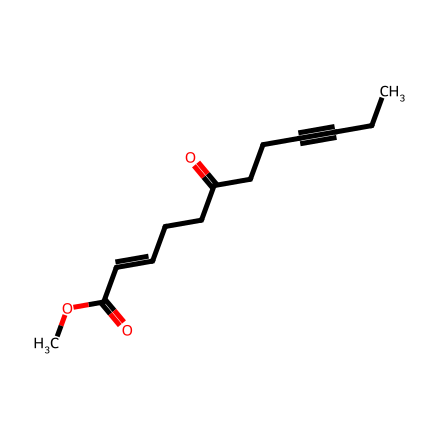 CCC#CCCC(=O)CC/C=C/C(=O)OC